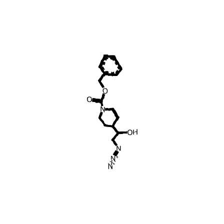 [N-]=[N+]=NCC(O)C1CCN(C(=O)OCc2ccccc2)CC1